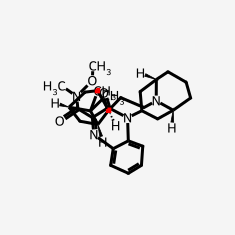 CON(C)C(=O)c1nc2ccccc2n(C2C[C@H]3CCC[C@@H](C2)N3CC[C@@H]2CC[C@H]3C[C@@H]2C3(C)C)c1=O